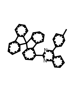 Cc1ccc(-c2nc(-c3cccc4c3-c3ccccc3C43c4ccccc4-c4ccccc43)nc3ccccc23)cc1